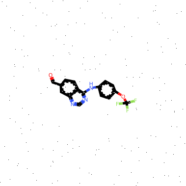 O=Cc1ccc2c(Nc3ccc(OC(F)(F)F)cc3)ncnc2c1